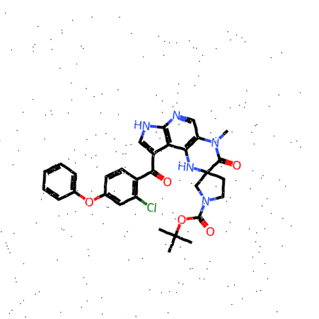 CN1C(=O)C2(CCN(C(=O)OC(C)(C)C)C2)Nc2c1cnc1[nH]cc(C(=O)c3ccc(Oc4ccccc4)cc3Cl)c21